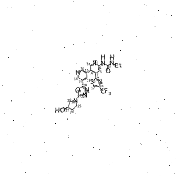 CCNC(=O)Nc1cc(-c2nc(C(F)(F)F)cs2)c(-c2cncc(-c3nnc(N4CC[C@@H](O)C4)o3)c2)cn1